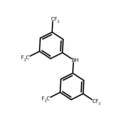 FC(F)(F)c1cc(Bc2cc(C(F)(F)F)cc(C(F)(F)F)c2)cc(C(F)(F)F)c1